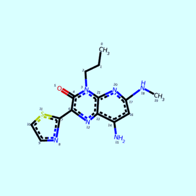 CCCn1c(=O)c(-c2nccs2)nc2c(N)cc(NC)nc21